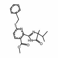 COC(=O)c1ccc(SCc2ccccc2)nc1C1=NC(C)(C(C)C)C(=O)N1